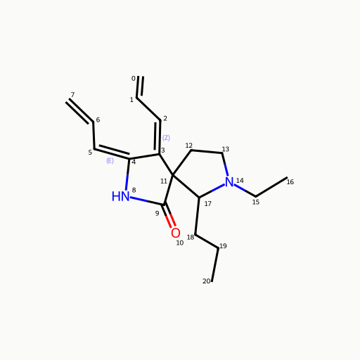 C=C/C=C1\C(=C/C=C)NC(=O)C12CCN(CC)C2CCC